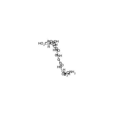 C[C@H](CCC(=O)O)[C@H]1CCC2[C@H]3C(C[C@H](O)[C@@]21C)[C@@]1(C)CC[C@H](ONC(=O)CCC(=O)NCCOCCOCC(=O)NCCCCC(NC(=O)c2ccc(N)cc2)C(=O)O)C[C@H]1C[C@H]3O